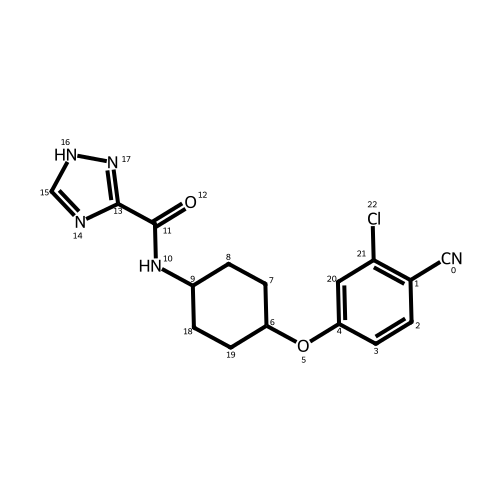 N#Cc1ccc(OC2CCC(NC(=O)c3nc[nH]n3)CC2)cc1Cl